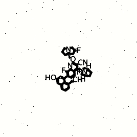 C#Cc1cccc2cc(O)cc(-c3ccc4c(N5C[C@H]6CC[C@@H](C5)N6)c(C#N)c(OC[C@@]56CCCN5C[C@H](F)C6)nc4c3F)c12